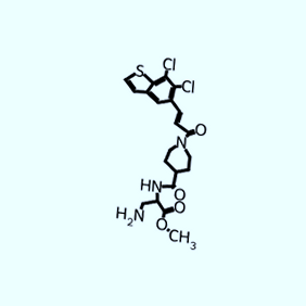 COC(=O)C(CN)NC(=O)C1CCN(C(=O)C=Cc2cc3ccsc3c(Cl)c2Cl)CC1